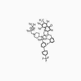 [2H]c1c(C)c([2H])c2c(=O)c([2H])c(SCc3cccc(F)c3F)n(CC(=O)N(C3CCN(CC([2H])([2H])OC([2H])([2H])[2H])CC3)C([2H])([2H])c3ccc(-c4ccc(C(F)(F)F)cc4)cc3)c2c1[2H]